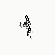 CC#CC(=O)Nc1ccc(CC(C(=O)NS(=O)(=O)c2ccc3ccccc3c2)C(=O)N(CC)CC)cc1